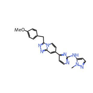 COc1ccc(Cc2nnc3cc(-c4ccnc(Nc5ccnn5C)n4)ccn23)cc1